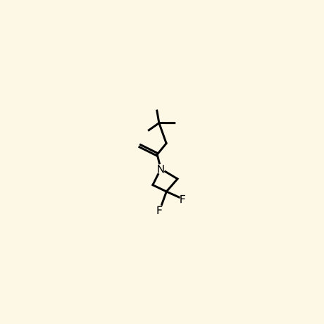 C=C(CC(C)(C)C)N1CC(F)(F)C1